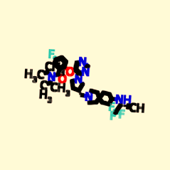 C#C[C@@H](NC1CCC2(CC1)CCN(C[C@@H]1CCN(c3ncncc3Oc3ccc(F)cc3C(=O)N(C(C)C)C(C)C)C1)CC2)C(F)(F)F